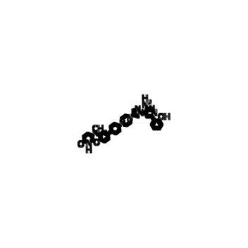 CN(c1cccc(C2CCC(N3CCN(c4cnn(-c5cc(-c6ccccc6O)nnc5N)c4)CC3)CC2)c1)[C@H]1CCC(=O)NC1=O